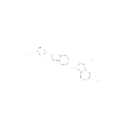 COc1ccc2c(c1)c(C#N)cn2Cc1ccc2oc(-c3nc(C(C)(C)C)cs3)cc2c1